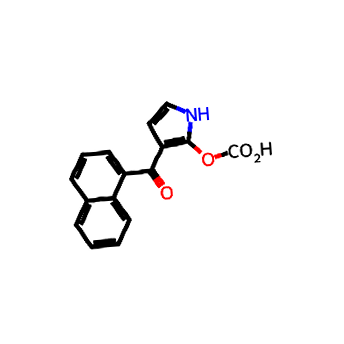 O=C(O)Oc1[nH]ccc1C(=O)c1cccc2ccccc12